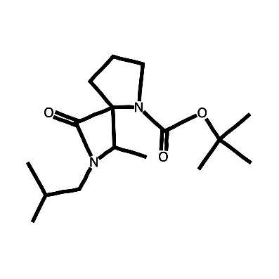 CC(C)CN1C(=O)C2(CCCN2C(=O)OC(C)(C)C)C1C